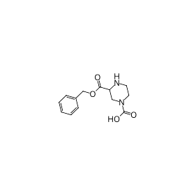 O=C(OCc1ccccc1)C1CN(C(=O)O)CCN1